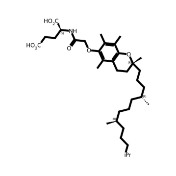 Cc1c(C)c2c(c(C)c1OCC(=O)N[C@@H](CCC(=O)O)C(=O)O)CC[C@@](C)(CCC[C@H](C)CCC[C@H](C)CCCC(C)C)O2